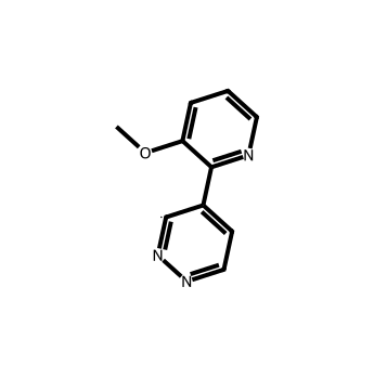 COc1cccnc1-c1[c]nncc1